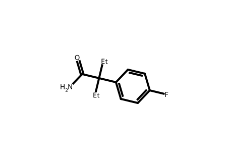 CCC(CC)(C(N)=O)c1ccc(F)cc1